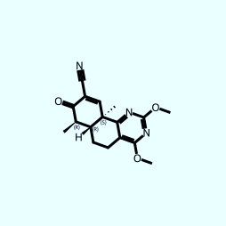 COc1nc(OC)c2c(n1)[C@]1(C)C=C(C#N)C(=O)[C@H](C)[C@H]1CC2